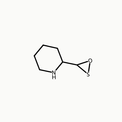 C1CCC(C2OS2)NC1